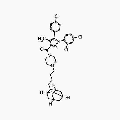 Cc1c(C(=O)N2CCN(CCCCC3[C@H]4C[C@@H]5C[C@@H](C[C@H]3C5)C4)CC2)nn(-c2ccc(Cl)cc2Cl)c1-c1ccc(Cl)cc1